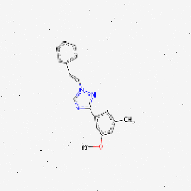 Cc1cc(OC(C)C)cc(-c2ncn(/C=C/c3ccccc3)n2)c1